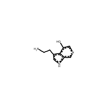 NCCc1c[nH]c2cncc(O)c12